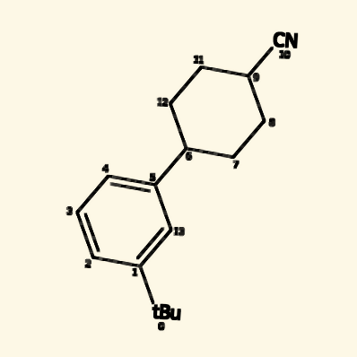 CC(C)(C)c1cccc(C2CCC(C#N)CC2)c1